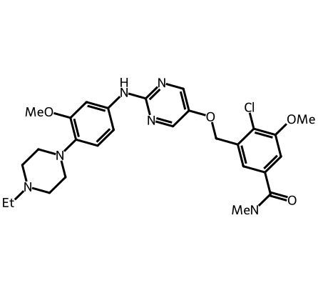 CCN1CCN(c2ccc(Nc3ncc(OCc4cc(C(=O)NC)cc(OC)c4Cl)cn3)cc2OC)CC1